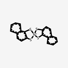 c1ccc2c3c(ccc2c1)S[N+]1(Sc2ccc4ccccc4c2S1)S3